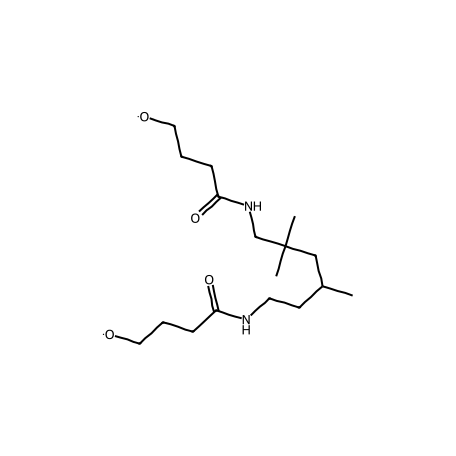 CC(CCNC(=O)CCC[O])CC(C)(C)CNC(=O)CCC[O]